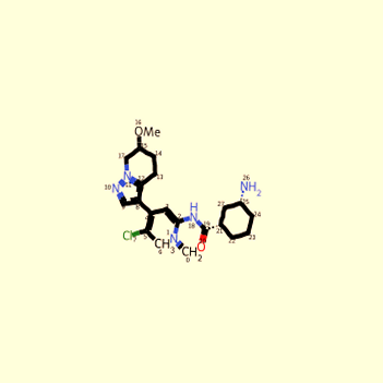 C=N/C(=C\C(=C(/C)Cl)c1cnn2c1CCC(OC)C2)NC(=O)[C@H]1CCC[C@@H](N)C1